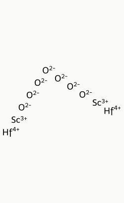 [Hf+4].[Hf+4].[O-2].[O-2].[O-2].[O-2].[O-2].[O-2].[O-2].[Sc+3].[Sc+3]